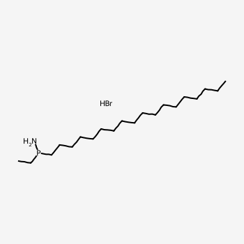 Br.CCCCCCCCCCCCCCCCCCP(N)CC